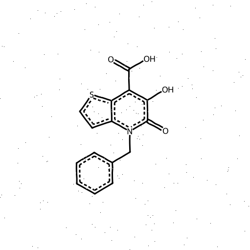 O=C(O)c1c(O)c(=O)n(Cc2ccccc2)c2ccsc12